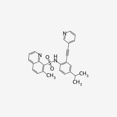 Cc1ccc2cccnc2c1S(=O)(=O)Nc1ccc(C(C)C)cc1C#Cc1cccnc1